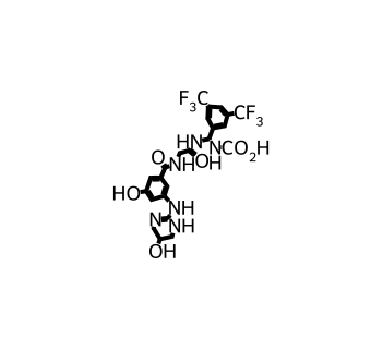 O=C(O)NC(NC(=O)CNC(=O)c1cc(O)cc(NC2=NCC(O)CN2)c1)c1cc(C(F)(F)F)cc(C(F)(F)F)c1